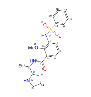 CCC(NC(=O)c1cccc(NS(=O)(=O)c2ccccc2)c1OC)C1CCCN1